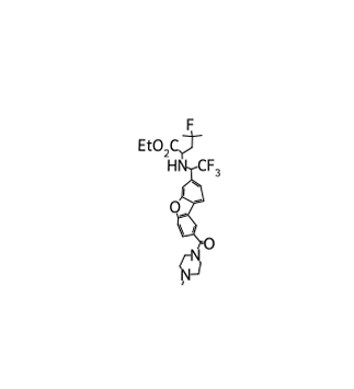 CCOC(=O)C(CC(C)(C)F)NC(c1ccc2c(c1)oc1ccc(C(=O)N3CCN(C)CC3)cc12)C(F)(F)F